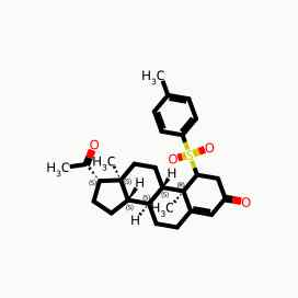 CC(=O)[C@H]1CC[C@H]2[C@@H]3CCC4=CC(=O)CC(S(=O)(=O)c5ccc(C)cc5)[C@]4(C)[C@H]3CC[C@]12C